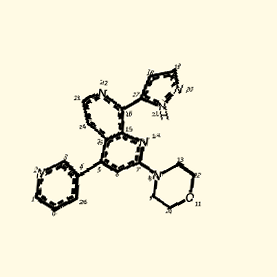 c1cncc(-c2cc(N3CCOCC3)nc3c(-c4ccn[nH]4)nccc23)c1